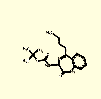 CCCCC1=NC(NC(=O)OC(C)(C)C)C(=O)Nc2ccccc21